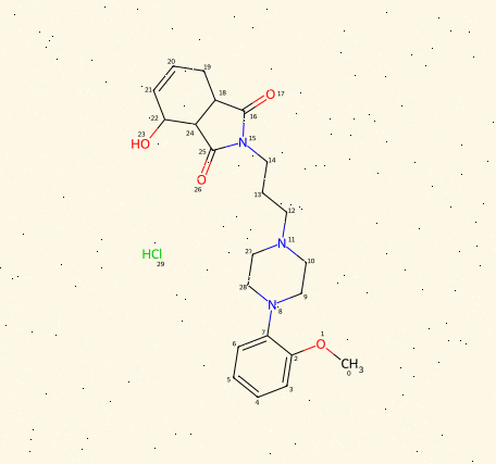 COc1ccccc1N1CCN(CCCN2C(=O)C3CC=CC(O)C3C2=O)CC1.Cl